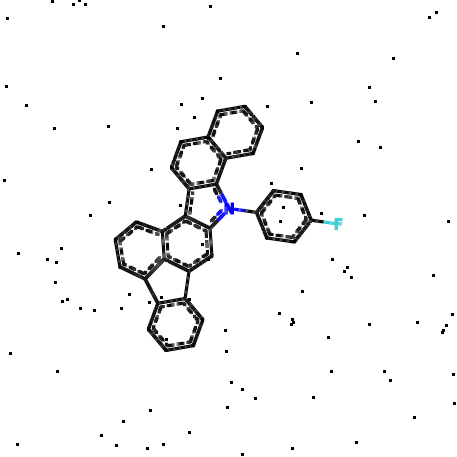 Fc1ccc(-n2c3cc4c5c(cccc5c3c3ccc5ccccc5c32)-c2ccccc2-4)cc1